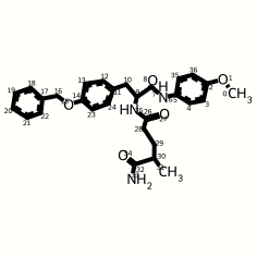 COc1ccc(NC(=O)C(Cc2ccc(OCc3ccccc3)cc2)NC(=O)[CH]CC(C)C(N)=O)cc1